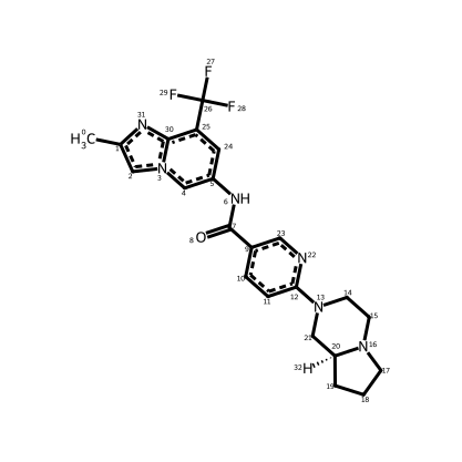 Cc1cn2cc(NC(=O)c3ccc(N4CCN5CCC[C@H]5C4)nc3)cc(C(F)(F)F)c2n1